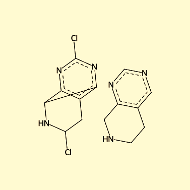 Clc1nc2c3c(n1)C2NC(Cl)C3.c1ncc2c(n1)CNCC2